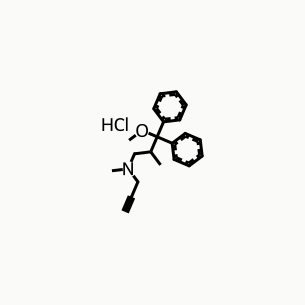 C#CCN(C)CC(C)C(OC)(c1ccccc1)c1ccccc1.Cl